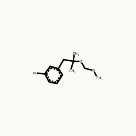 COCOC(C)(C)Cc1cccc(Br)c1